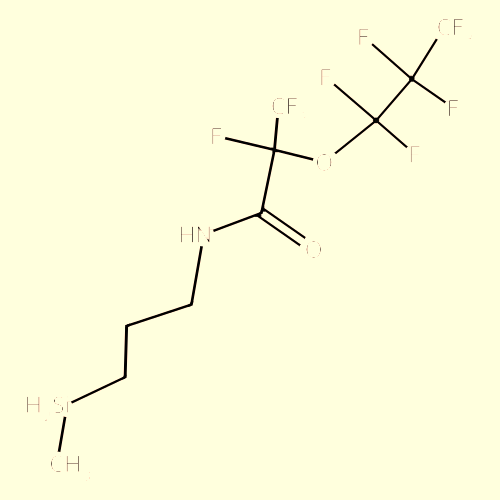 C[SiH2]CCCNC(=O)C(F)(OC(F)(F)C(F)(F)C(F)(F)F)C(F)(F)F